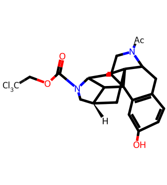 CC(=O)N1CCC23c4cc(O)ccc4CC1C21CCC2C3[C@@H](CN2C(=O)OCC(Cl)(Cl)Cl)C1